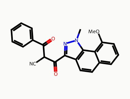 COc1cccc2ccc3c(C(=O)C(C#N)C(=O)c4ccccc4)nn(C)c3c12